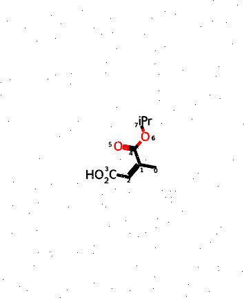 C/C(=C/C(=O)O)C(=O)OC(C)C